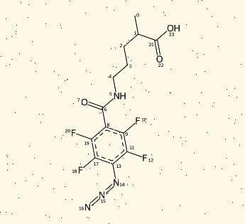 CC(CCCNC(=O)c1c(F)c(F)c(N=[N+]=[N-])c(F)c1F)C(=O)O